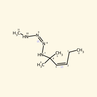 CC/C=C\C(C)(C)N/N=N\NC